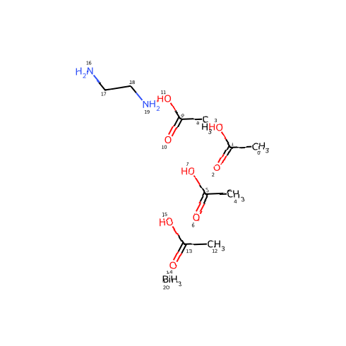 CC(=O)O.CC(=O)O.CC(=O)O.CC(=O)O.NCCN.[BiH3]